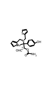 CC(C)(C)C(c1ccc(O)cc1)([C@@H](C=O)OC(N)=O)N(Cc1cccs1)Cc1cccs1